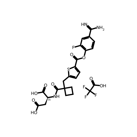 N=C(N)c1ccc(OC(=O)c2ccc(CC3(C(=O)N[C@@H](CC(=O)O)C(=O)O)CCC3)s2)c(F)c1.O=C(O)C(F)(F)F